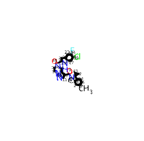 Cc1ccc(C2(N(C)C(=O)c3cnn4c3CN(C(=O)c3cc5cc(F)c(Cl)cc5[nH]3)CC4)CC2)cc1